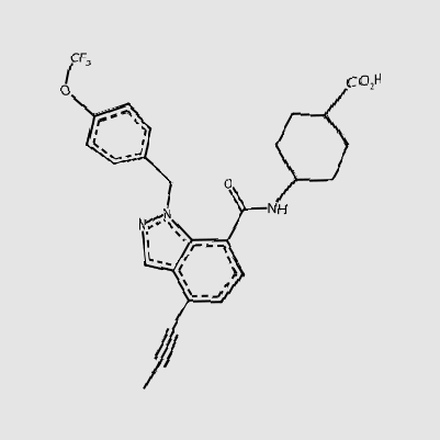 CC#Cc1ccc(C(=O)NC2CCC(C(=O)O)CC2)c2c1cnn2Cc1ccc(OC(F)(F)F)cc1